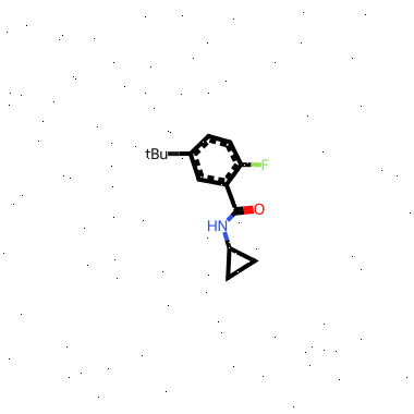 CC(C)(C)c1ccc(F)c(C(=O)NC2CC2)c1